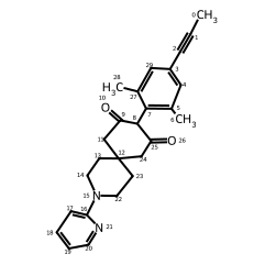 CC#Cc1cc(C)c(C2C(=O)CC3(CCN(c4ccccn4)CC3)CC2=O)c(C)c1